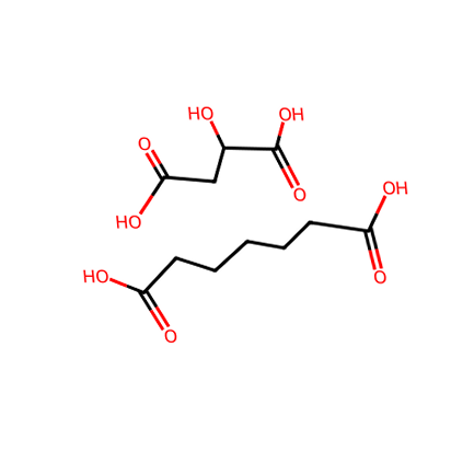 O=C(O)CC(O)C(=O)O.O=C(O)CCCCCC(=O)O